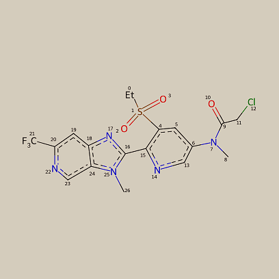 CCS(=O)(=O)c1cc(N(C)C(=O)CCl)cnc1-c1nc2cc(C(F)(F)F)ncc2n1C